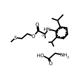 CSCCOC(=O)[C@H](C)Nc1c(C(C)C)cccc1C(C)C.NCC(=O)O